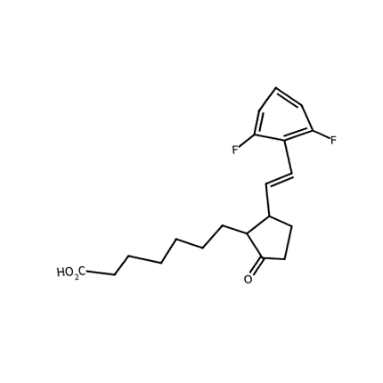 O=C(O)CCCCCCC1C(=O)CCC1/C=C/c1c(F)cccc1F